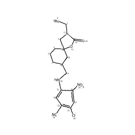 CC(C)(C)CN1CC2(CCCC(CNc3cc(C#N)c(Cl)cc3[N+](=O)[O-])C2)OC1=O